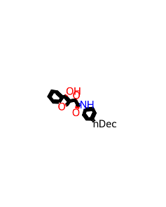 CCCCCCCCCCc1ccc(NC(=O)C(=O)C2=C(O)c3ccccc3OC2)cc1